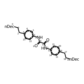 CCCCCCCCCCCCc1ccc(NC(=O)C(=O)Nc2ccc(CCCCCCCCCCCC)cc2)cc1